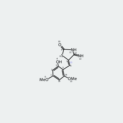 COc1cc(O)c(/C=C2\SC(=O)NC2=N)c(OC)c1